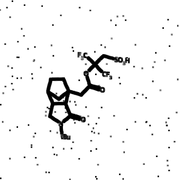 CC(C)(C)N1CC2C3CCC(CC(=O)OC(CS(=O)(=O)O)(C(F)(F)F)C(F)(F)F)(C3)C2C1=O